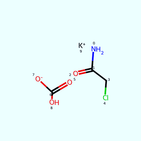 NC(=O)CCl.O=C([O-])O.[K+]